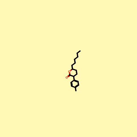 CCCCCCC1CCC(c2ccc(C)cc2)C(=O)O1